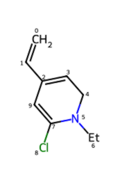 C=CC1=CCN(CC)C(Cl)=C1